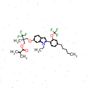 C=C(C)C(=O)OCC(C)(COc1ccc2cc(-c3ccc(CCCCC)cc3OC(F)(F)F)n(CC)c2c1)C(F)(F)F